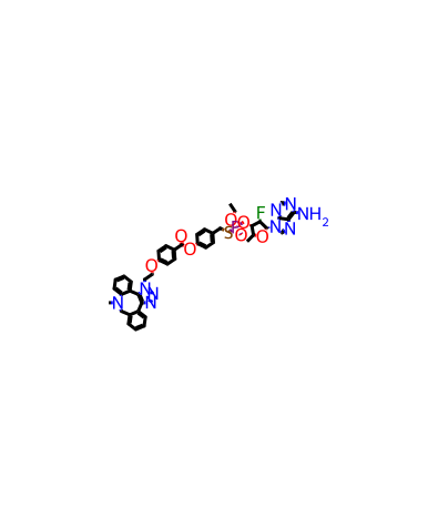 CCOP(=O)(O[C@@H]1C(C)O[C@@H](n2cnc3c(N)ncnc32)[C@@H]1F)SCc1ccc(OC(=O)c2ccc(OCCn3nnc4c3-c3ccccc3N(C)Cc3ccccc3-4)cc2)cc1